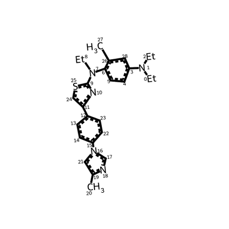 CCN(CC)c1ccc(N(CC)c2nc(-c3ccc(-n4cnc(C)c4)cc3)cs2)c(C)c1